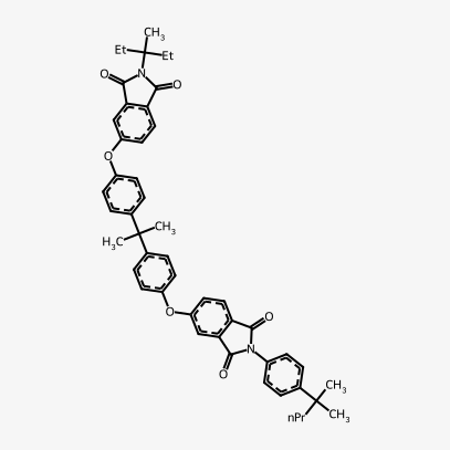 CCCC(C)(C)c1ccc(N2C(=O)c3ccc(Oc4ccc(C(C)(C)c5ccc(Oc6ccc7c(c6)C(=O)N(C(C)(CC)CC)C7=O)cc5)cc4)cc3C2=O)cc1